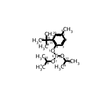 Cc1ccc([O][Ti]([O]C(C)C)[O]C(C)C)c(C(C)(C)C)c1